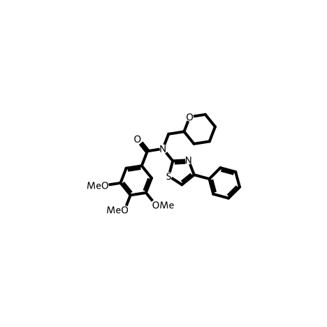 COc1cc(C(=O)N(CC2CCCCO2)c2nc(-c3ccccc3)cs2)cc(OC)c1OC